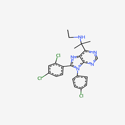 CCNC(C)(C)c1ncnc2c1nc(-c1ccc(Cl)cc1Cl)n2-c1ccc(Cl)cc1